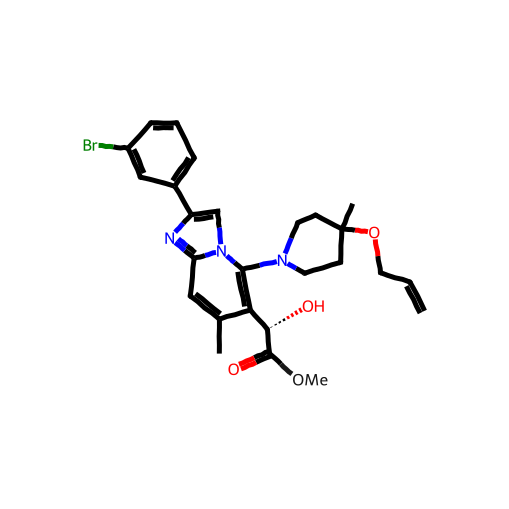 C=CCOC1(C)CCN(c2c([C@H](O)C(=O)OC)c(C)cc3nc(-c4cccc(Br)c4)cn23)CC1